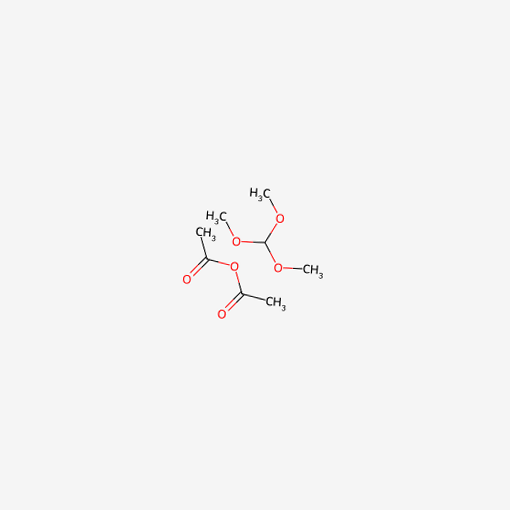 CC(=O)OC(C)=O.COC(OC)OC